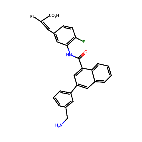 CCC(=Cc1ccc(F)c(NC(=O)c2cc(-c3cccc(CN)c3)cc3ccccc23)c1)C(=O)O